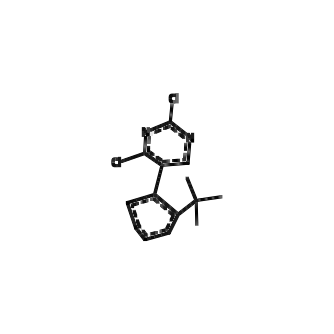 CC(C)(C)c1ccccc1-c1cnc(Cl)nc1Cl